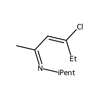 CCCC(C)/N=C(C)\C=C(\Cl)CC